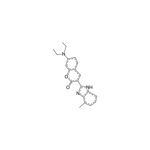 CCN(CC)c1ccc2cc(-c3nc4c(C)cccc4[nH]3)c(=O)oc2c1